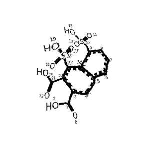 O=C(O)c1[c]c2cccc(S(=O)(=O)O)c2c(S(=O)(=O)O)c1C(=O)O